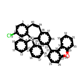 Clc1ccc2c(c1)[Si](c1ccccc1)(c1ccccc1)c1cc(-c3cccc4oc5ccccc5c34)ccc1C=C2